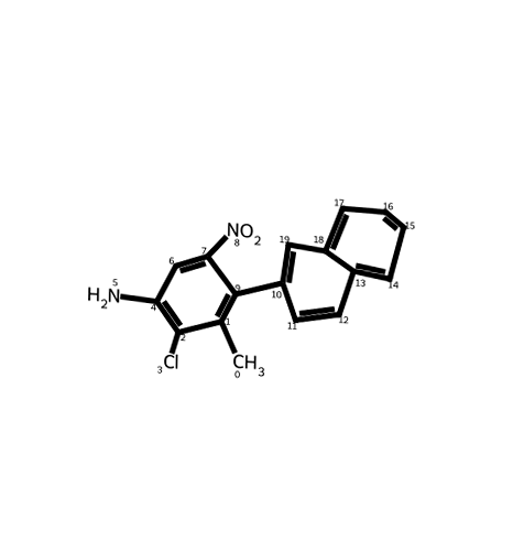 Cc1c(Cl)c(N)cc([N+](=O)[O-])c1-c1ccc2ccccc2c1